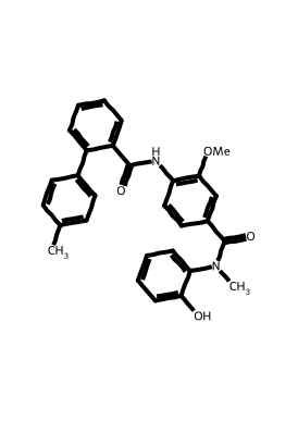 COc1cc(C(=O)N(C)c2ccccc2O)ccc1NC(=O)c1ccccc1-c1ccc(C)cc1